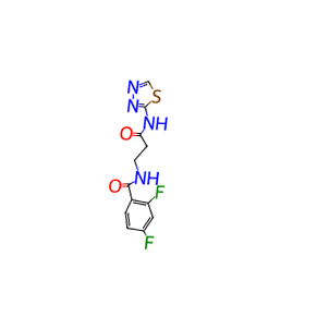 O=C(CCNC(=O)c1ccc(F)cc1F)Nc1nncs1